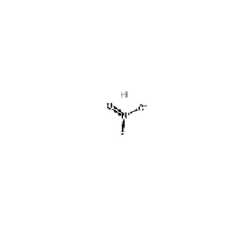 I.O=[N+]([O-])F